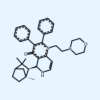 CC1(C)C2CC[C@@](C)(C2)[C@@H]1C1NC=Cc2c1c(=O)c(-c1ccccc1)c(-c1ccccc1)n2CCN1CCOCC1